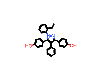 CCc1ccccc1-n1nc(-c2ccc(O)cc2)c(-c2ccccc2)c1-c1ccc(O)cc1